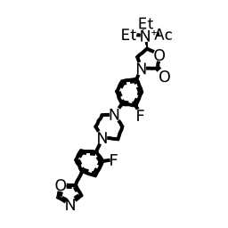 CC[N+](CC)(C(C)=O)[C@@H]1CN(c2ccc(N3CCN(c4ccc(-c5cnco5)cc4F)CC3)c(F)c2)C(=O)O1